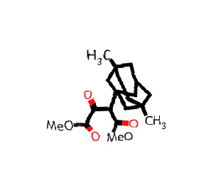 COC(=O)C(=O)C(C(=O)OC)C12CC3CC(C)(CC(C)(C3)C1)C2